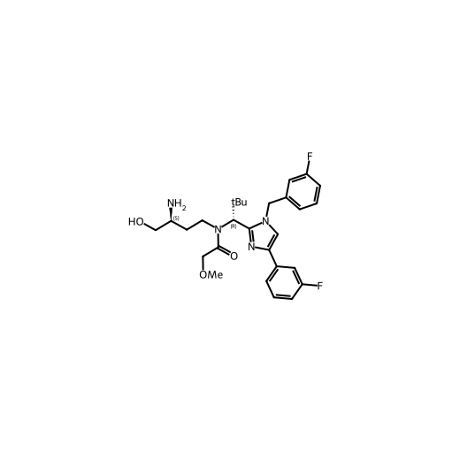 COCC(=O)N(CC[C@H](N)CO)[C@@H](c1nc(-c2cccc(F)c2)cn1Cc1cccc(F)c1)C(C)(C)C